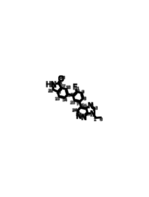 CCn1cnc2c(-c3ccc(F)c(-c4ccc5c(c4)C(=O)NC5)c3)cnnc21